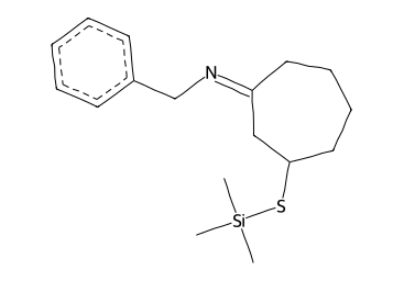 C[Si](C)(C)SC1CCCC/C(=N/Cc2ccccc2)C1